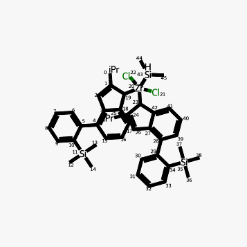 CC(C)C1=Cc2c(-c3ccccc3[Si](C)(C)C)cccc2[CH]1[Zr]([Cl])([Cl])([CH]1C(C(C)C)=Cc2c(-c3ccccc3[Si](C)(C)C)cccc21)[SiH](C)C